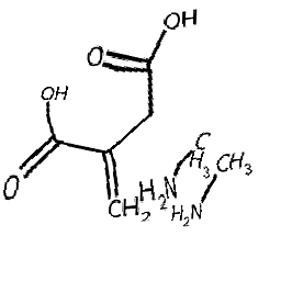 C=C(CC(=O)O)C(=O)O.CN.CN